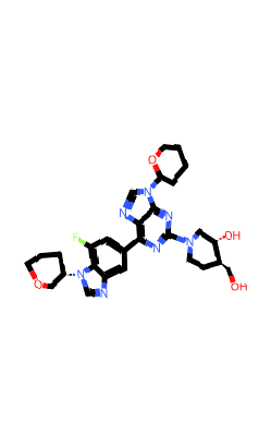 OC[C@H]1CCN(c2nc(-c3cc(F)c4c(c3)ncn4[C@H]3CCCOC3)c3ncn(C4CCCCO4)c3n2)C[C@@H]1O